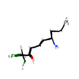 CCCC(N)CCCC(=O)C(F)(F)F